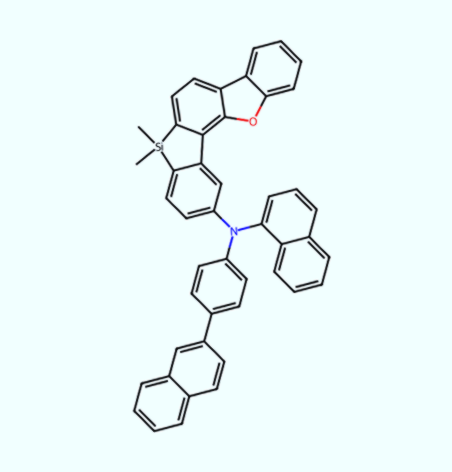 C[Si]1(C)c2ccc(N(c3ccc(-c4ccc5ccccc5c4)cc3)c3cccc4ccccc34)cc2-c2c1ccc1c2oc2ccccc21